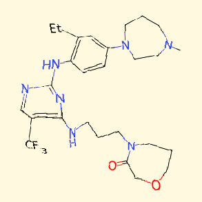 CCc1cc(N2CCCN(C)CC2)ccc1Nc1ncc(C(F)(F)F)c(NCCCN2CCCOCC2=O)n1